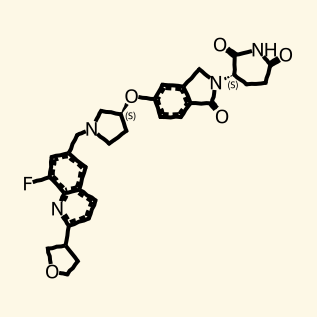 O=C1CC[C@H](N2Cc3cc(O[C@H]4CCN(Cc5cc(F)c6nc(C7CCOC7)ccc6c5)C4)ccc3C2=O)C(=O)N1